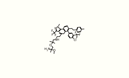 C=C(CCNCC(C)(C)OCC(C)(N)OC)Cc1c(-c2cc(C(F)(F)F)nn2C)ccc(CCc2ccc(C)cc2)c1-c1ccc(Cl)c(C(F)(F)F)c1